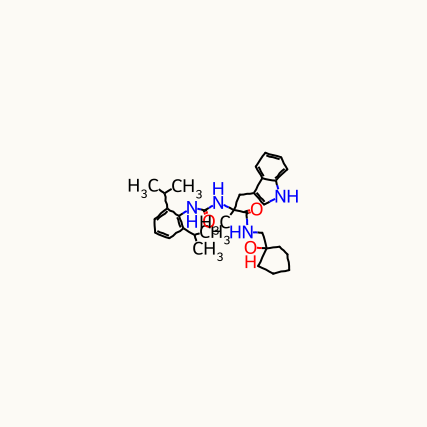 CC(C)c1cccc(C(C)C)c1NC(=O)NC(C)(Cc1c[nH]c2ccccc12)C(=O)NCC1(O)CCCCC1